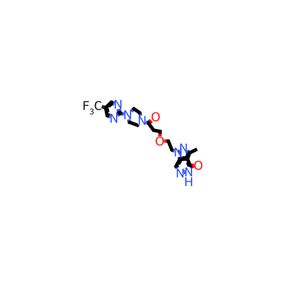 Cc1nn(CCOCCC(=O)N2CCN(c3ncc(C(F)(F)F)cn3)CC2)c2cn[nH]c(=O)c12